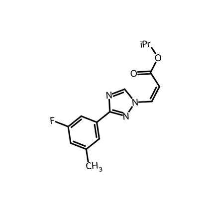 Cc1cc(F)cc(-c2ncn(/C=C\C(=O)OC(C)C)n2)c1